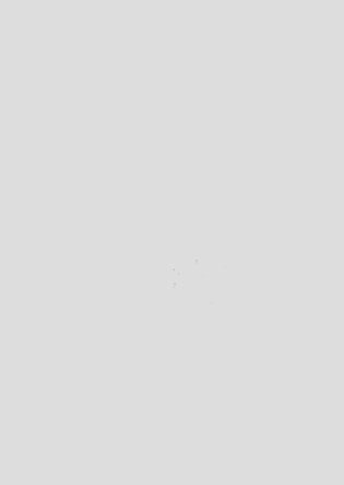 O=c1[nH]c(CSC2CCOCC2)nc2cc(OCC3CCOC3)cc(F)c12